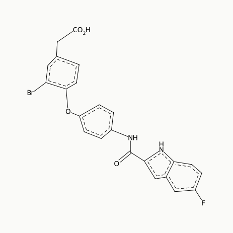 O=C(O)Cc1ccc(Oc2ccc(NC(=O)c3cc4cc(F)ccc4[nH]3)cc2)c(Br)c1